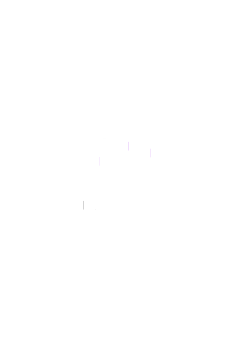 [I-].[I-].[I-].[I-].[K+].[Lu+3]